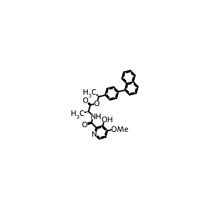 COc1ccnc(C(=O)N[C@@H](C)C(=O)O[C@@H](C)c2ccc(-c3cccc4ccccc34)cc2)c1O